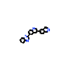 c1ccc2nc(-c3ccc4ncc(-c5ccc6cnccc6c5)cc4c3)cnc2c1